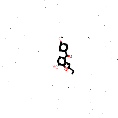 CCc1cc2c(C(=O)c3ccc(OC)cc3)ccc(O)c2o1